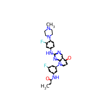 C=CC(=O)Nc1cc(F)cc(-n2ccc(=O)c3cnc(Nc4ccc(N5CCN(C)CC5)c(F)c4)nc32)c1